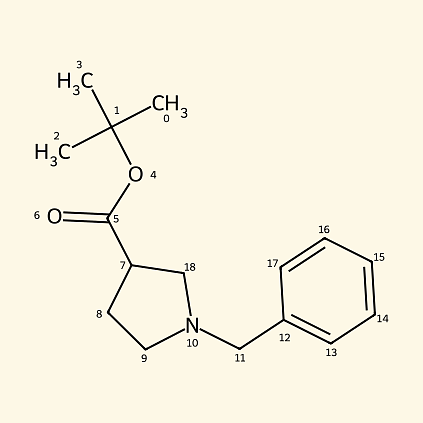 CC(C)(C)OC(=O)C1CCN(Cc2ccccc2)C1